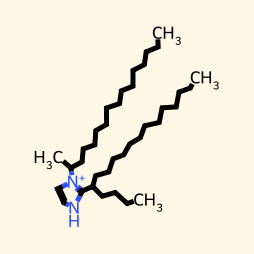 CCCCCCCCCCCCCCC(C)[n+]1cc[nH]c1C(CCCC)CCCCCCCCCCCCC